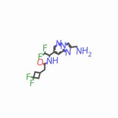 NCc1cn2ncc(C(NC(=O)CC3CC(F)(F)C3)C(F)F)cc2n1